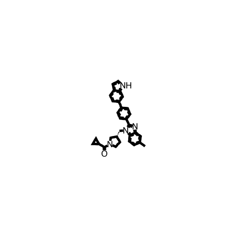 Cc1ccc2c(c1)nc(-c1ccc(-c3ccc4cc[nH]c4c3)cc1)n2C[C@@H]1CCN(C(=O)C2CC2)C1